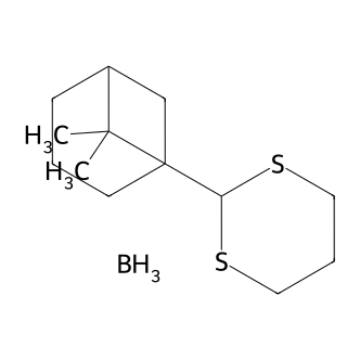 B.CC1(C)C2CCCC1(C1SCCCS1)C2